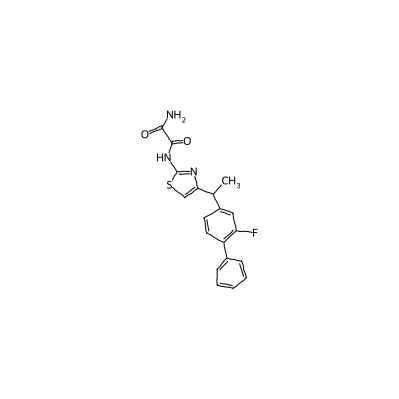 CC(c1ccc(-c2ccccc2)c(F)c1)c1csc(NC(=O)C(N)=O)n1